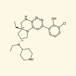 CCN(C1CCNCC1)[C@H]1CN2c3cc(-c4cccc(Cl)c4O)nnc3NC[C@@]2(CC)C1